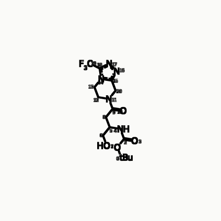 CC(C)(C)OC(=O)NC(CO)CC(=O)N1CCn2c(nnc2C(F)(F)F)C1